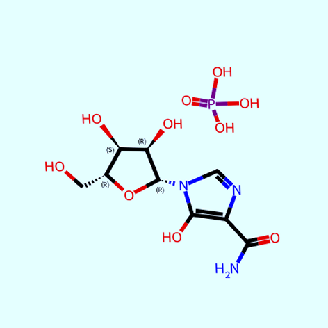 NC(=O)c1ncn([C@@H]2O[C@H](CO)[C@@H](O)[C@H]2O)c1O.O=P(O)(O)O